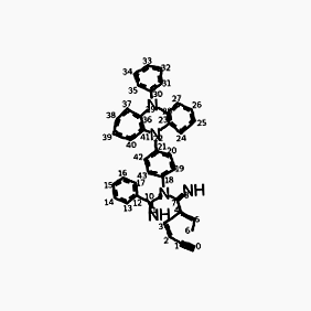 C#C/C=C\C(=C/C)C(=N)N(C(=N)c1ccccc1)c1ccc(N2c3ccccc3N(c3ccccc3)c3ccccc32)cc1